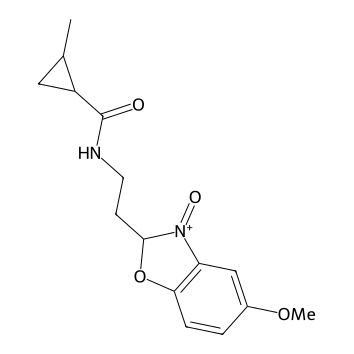 COc1ccc2c(c1)[N+](=O)C(CCNC(=O)C1CC1C)O2